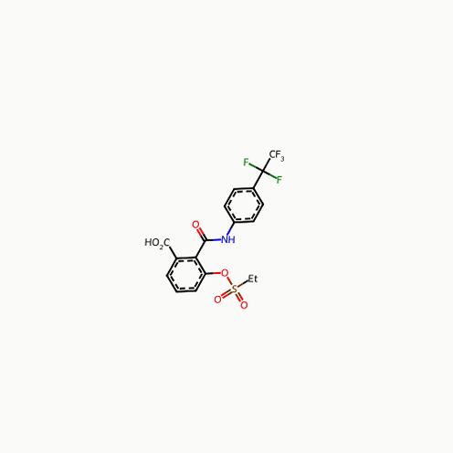 CCS(=O)(=O)Oc1cccc(C(=O)O)c1C(=O)Nc1ccc(C(F)(F)C(F)(F)F)cc1